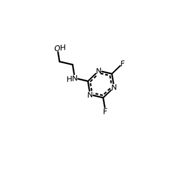 OCCNc1nc(F)nc(F)n1